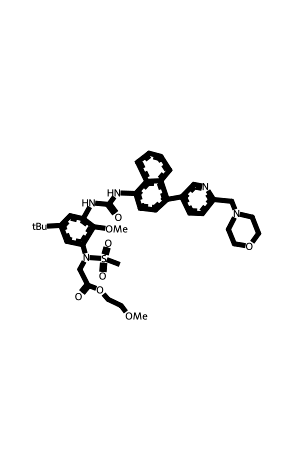 COCCOC(=O)CN(c1cc(C(C)(C)C)cc(NC(=O)Nc2ccc(-c3ccc(CN4CCOCC4)nc3)c3ccccc23)c1OC)S(C)(=O)=O